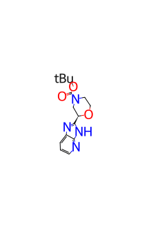 CC(C)(C)OC(=O)N1CCO[C@@H](c2nc3cccnc3[nH]2)C1